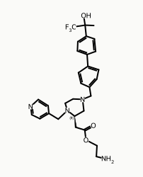 CC(O)(c1ccc(-c2ccc(CN3CCN(Cc4ccncc4)[C@H](CC(=O)OCCN)C3)cc2)cc1)C(F)(F)F